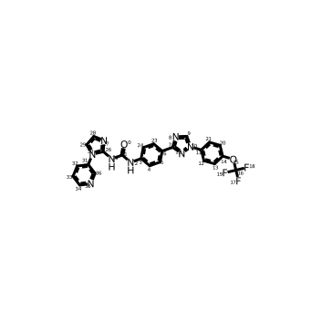 O=C(Nc1ccc(-c2ncn(-c3ccc(OC(F)(F)F)cc3)n2)cc1)Nc1nccn1-c1cccnc1